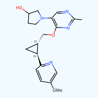 COc1ccc([C@H]2C[C@@H]2COc2nc(C)ncc2N2CCC(O)C2)nc1